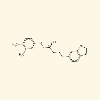 Cc1ccc(OC[C@@H](O)CCCc2ccc3c(c2)OCO3)cc1C